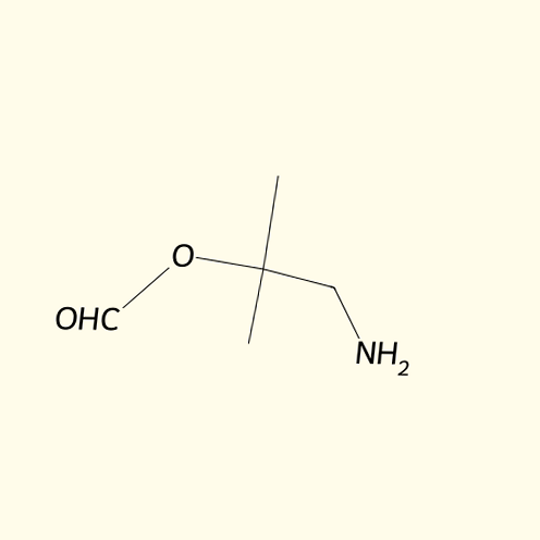 CC(C)(CN)OC=O